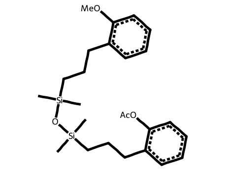 COc1ccccc1CCC[Si](C)(C)O[Si](C)(C)CCCc1ccccc1OC(C)=O